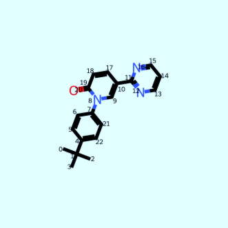 CC(C)(C)c1ccc(-n2cc(-c3ncccn3)ccc2=O)cc1